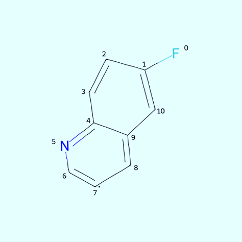 Fc1ccc2nc[c]cc2c1